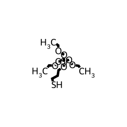 CCOO[Si](OCCCS)(OOCC)OOCC